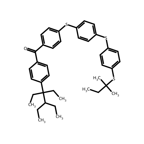 CCC(CC)C(CC)(CC)c1ccc(C(=O)c2ccc(Sc3ccc(Sc4ccc(SC(C)(C)CC)cc4)cc3)cc2)cc1